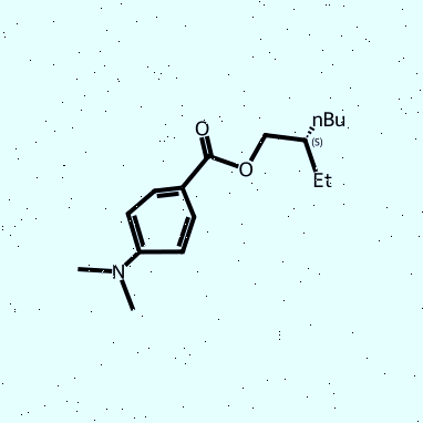 CCCC[C@H](CC)COC(=O)c1ccc(N(C)C)cc1